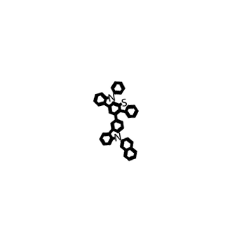 c1ccc(-n2c3ccccc3c3cc(-c4ccc5c(c4)c4ccccc4n5-c4ccc5ccccc5c4)c4c5ccccc5sc4c32)cc1